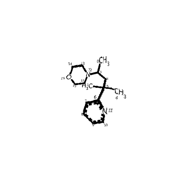 CC(CC(C)(C)c1ccccn1)N1CCOCC1